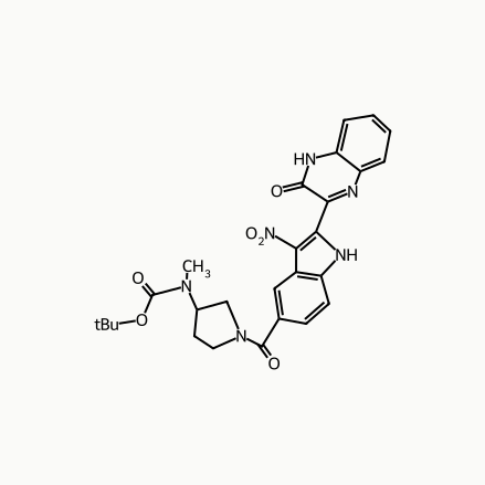 CN(C(=O)OC(C)(C)C)C1CCN(C(=O)c2ccc3[nH]c(-c4nc5ccccc5[nH]c4=O)c([N+](=O)[O-])c3c2)C1